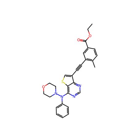 CCOC(=O)c1ccc(C)c(C#Cc2csc3c(N(c4ccccc4)N4CCOCC4)ncnc23)c1